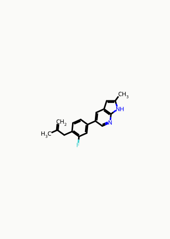 C=C(C)Cc1ccc(-c2cnc3[nH]c(C)cc3c2)cc1F